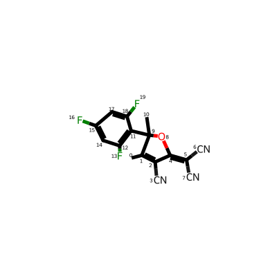 CC1=C(C#N)C(=C(C#N)C#N)OC1(C)c1c(F)cc(F)cc1F